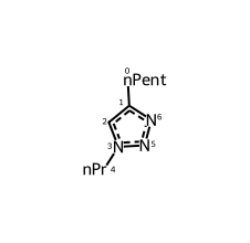 CCCCCc1cn(CCC)nn1